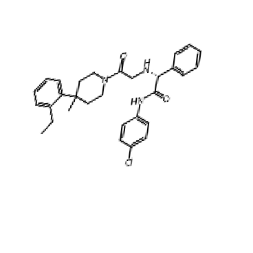 CCc1ccccc1C1(C)CCN(C(=O)CN[C@@H](C(=O)Nc2ccc(Cl)cc2)c2ccccc2)CC1